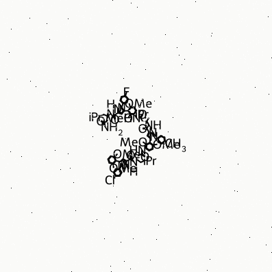 COc1cccc(OC)c1-c1cc(C(=O)N[C@H](CC(=O)Nc2ccc(OC)c(-c3cc(C(=O)N[C@H](CC(=O)Nc4ccc(OC)c(-c5cc(C(=O)N[C@H](CC(N)=O)CC(C)C)nn5-c5ccc(F)cc5)c4OC)CC(C)C)nn3-c3ccc(C)cc3)c2OC)CC(C)C)nn1-c1ccc(Cl)cc1